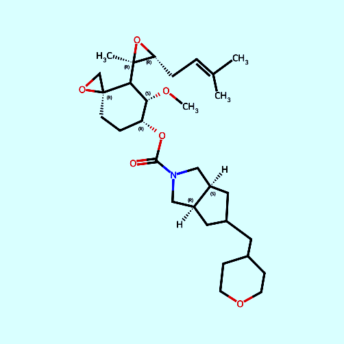 CO[C@H]1C([C@@]2(C)O[C@@H]2CC=C(C)C)[C@]2(CC[C@H]1OC(=O)N1C[C@H]3CC(CC4CCOCC4)C[C@H]3C1)CO2